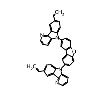 C=Cc1ccc2c(c1)c1ncccc1n2-c1ccc2oc3ccc(-n4c5ccc(C=C)cc5c5ncccc54)cc3c2c1